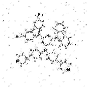 CC(C)(C)c1ccc2c(c1)c1cc(C(C)(C)C)ccc1n2-c1cc(N(c2ccc(-c3ccncc3)cc2)c2ccc(-c3ccncc3)cc2)cc(-n2c3ccccc3c3ccccc32)n1